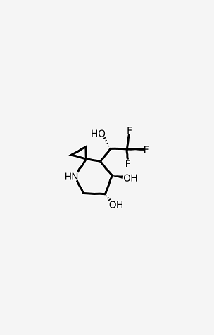 O[C@@H]1CNC2(CC2)C([C@H](O)C(F)(F)F)[C@H]1O